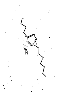 CCCCCCC[n+]1ccc(CCCC)cc1.[C-]#N